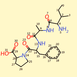 CCC(C)C(N)C(=O)NC(C)C(=O)NC(Cc1ccccc1)C(=O)N1CCCC1C(=O)O